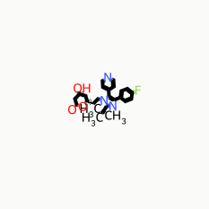 CC(C)(C)c1nc(-c2ccc(F)cc2)c(-c2ccncc2)n1CC[C@@H]1C[C@@H](O)CC(=O)O1